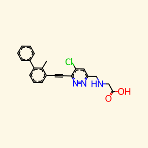 Cc1c(C#Cc2nnc(CNCC(=O)O)cc2Cl)cccc1-c1ccccc1